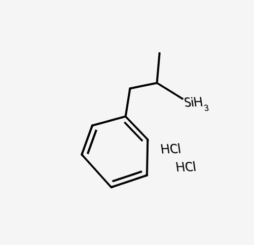 CC([SiH3])Cc1ccccc1.Cl.Cl